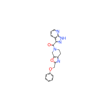 O=C(c1n[nH]c2ncccc12)N1CCc2nc(COc3ccccc3)oc2C1